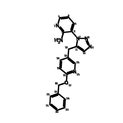 Nc1ncccc1-n1nncc1Cc1ccc(OCc2ccccc2)nc1